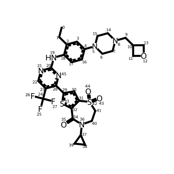 CCc1cc(N2CCN(CC3COC3)CC2)ccc1Nc1ncc(C(F)(F)F)c(-c2cc3c(s2)C(=O)N(C2CC2)CCS3(=O)=O)n1